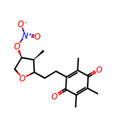 CC1=C(C)C(=O)C(CCC2OC[C@@H](O[N+](=O)[O-])[C@H]2C)=C(C)C1=O